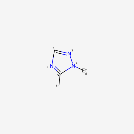 CCn1ncnc1C